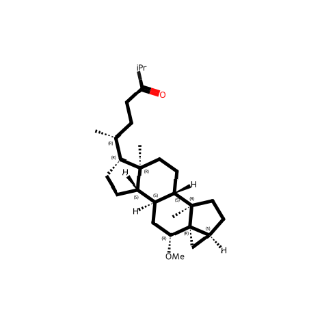 CO[C@@H]1C[C@H]2[C@@H]3CC[C@H]([C@H](C)CCC(=O)C(C)C)[C@@]3(C)CC[C@@H]2[C@@]2(C)CC[C@H]3C[C@]312